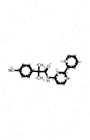 CC(C)(C(=O)Nc1ccnc(-c2ccccn2)n1)c1ccc(C#N)cc1